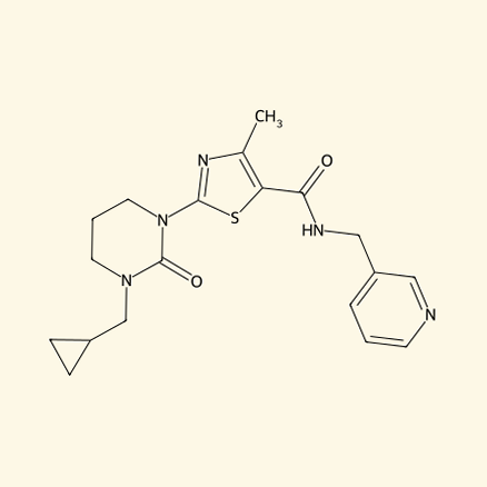 Cc1nc(N2CCCN(CC3CC3)C2=O)sc1C(=O)NCc1cccnc1